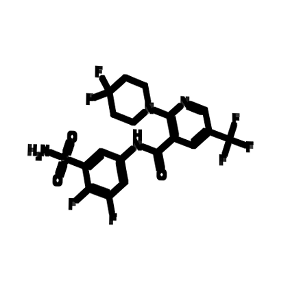 NS(=O)(=O)c1cc(NC(=O)c2cc(C(F)(F)F)cnc2N2CCC(F)(F)CC2)cc(F)c1F